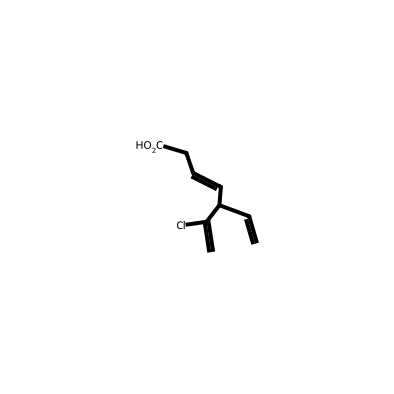 C=CC(C=CCC(=O)O)C(=C)Cl